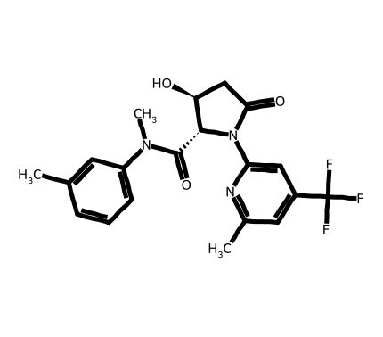 Cc1cccc(N(C)C(=O)[C@@H]2[C@@H](O)CC(=O)N2c2cc(C(F)(F)F)cc(C)n2)c1